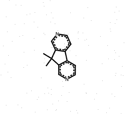 CC1(C)c2cnccc2-c2ccncc21